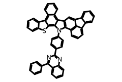 c1ccc(-c2nc(-c3ccc(-n4c5c6cccc7c6c(cc5c5c6ccccc6c6c8ccccc8sc6c54)-c4ccccc4-7)cc3)nc3ccccc23)cc1